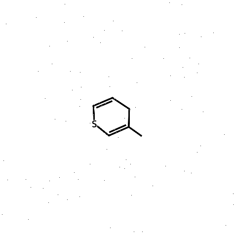 CC1=CSC=CC1